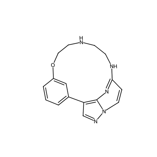 c1cc2cc(c1)-c1cnn3ccc(nc13)NCCNCCO2